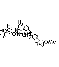 COC(=O)CC1c2ccc(OCc3cccc(-c4c(C)nc(OCCC(C)(C)O)nc4C)c3C)cc2CC12CC2